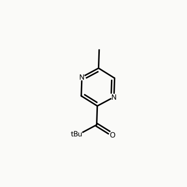 Cc1cnc(C(=O)C(C)(C)C)cn1